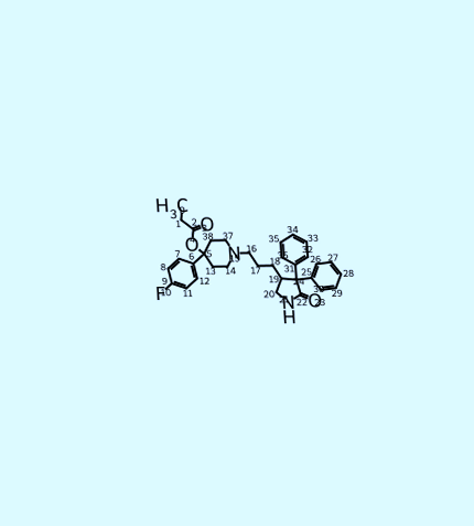 CCC(=O)OC1(c2ccc(F)cc2)CCN(CCCC2CNC(=O)C2(c2ccccc2)c2ccccc2)CC1